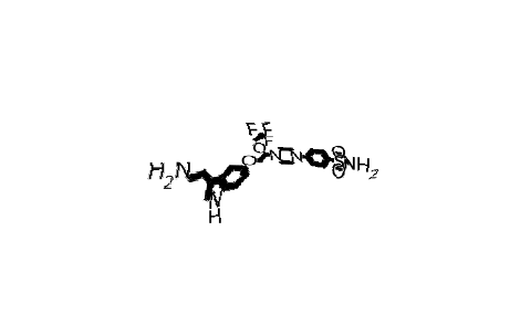 CC(F)(F)F.NCCc1c[nH]c2ccc(OCC(=O)N3CCN(c4ccc(S(N)(=O)=O)cc4)CC3)cc12